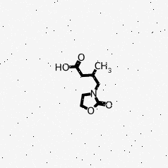 CC(CC(=O)O)CN1CCOC1=O